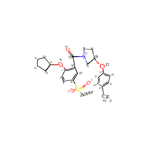 CNS(=O)(=O)c1ccc(OC2CCCC2)c(C(=O)N2CCC(Oc3ccc(C(F)(F)F)cc3)C2)c1